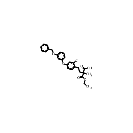 CCOC(=O)C(C)(CCc1ccc(Sc2cccc(OCc3ccccc3)c2)cc1Cl)C(=O)O